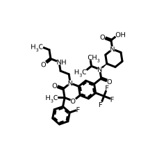 CCC(=O)NCCN1C(=O)C(C)(c2ccccc2F)Oc2cc(C(F)(F)F)c(C(=O)N(C(C)C)[C@@H]3CCCN(C(=O)O)C3)cc21